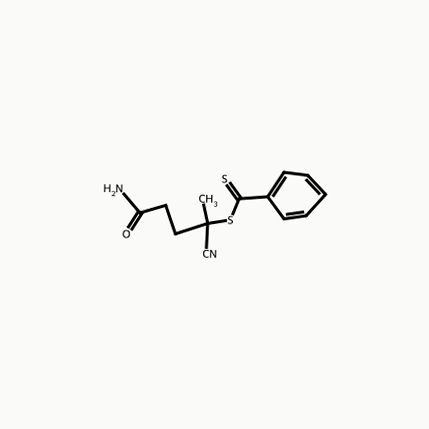 CC(C#N)(CCC(N)=O)SC(=S)c1ccccc1